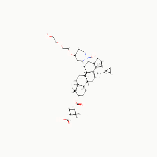 COCCOCCOC1CCN(C(=O)[C@]23CC[C@@H](C4(C)CC4)[C@@H]2[C@H]2CC[C@@H]4[C@@]5(C)CC[C@H](OC(=O)[C@H]6C[C@@H](C(=O)O)C6(C)C)C(C)(C)[C@@H]5CC[C@@]4(C)[C@]2(C)CC3)CC1